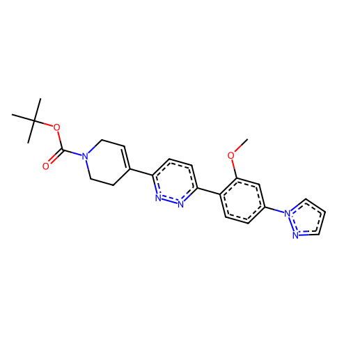 COc1cc(-n2cccn2)ccc1-c1ccc(C2=CCN(C(=O)OC(C)(C)C)CC2)nn1